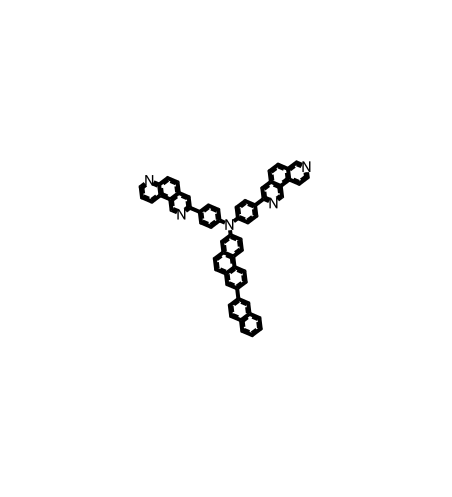 c1ccc2cc(-c3ccc4c(ccc5cc(N(c6ccc(-c7cc8ccc9cnccc9c8cn7)cc6)c6ccc(-c7cc8ccc9ncccc9c8cn7)cc6)ccc54)c3)ccc2c1